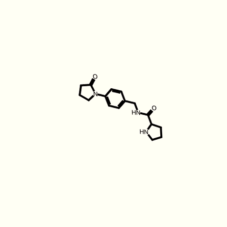 O=C(NCc1ccc(N2CCCC2=O)cc1)C1CCCN1